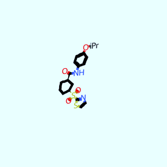 CC(C)Oc1ccc(NC(=O)[C@@H]2CCC[C@@H](S(=O)(=O)c3nccs3)C2)cc1